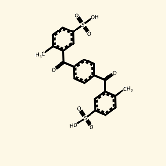 Cc1ccc(S(=O)(=O)O)cc1C(=O)c1ccc(C(=O)c2cc(S(=O)(=O)O)ccc2C)cc1